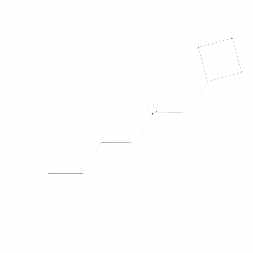 CCC[CH]OC(=O)OC1CCC1